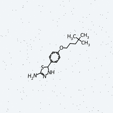 CC(C)(C)CCCOc1ccc(C2NN=C(N)S2)cc1